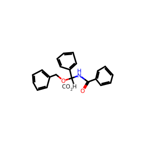 O=C(NC(OCc1ccccc1)(C(=O)O)c1ccccc1)c1ccccc1